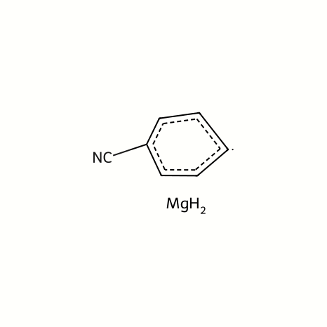 N#Cc1cc[c]cc1.[MgH2]